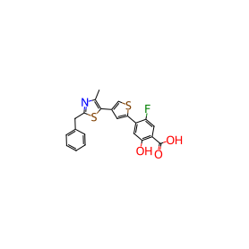 Cc1nc(Cc2ccccc2)sc1-c1csc(-c2cc(O)c(C(=O)O)cc2F)c1